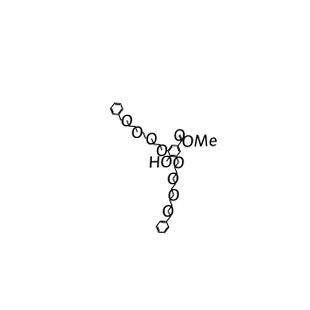 COC(=O)c1cc(OCCOCCOCCOCc2ccccc2)c(O)c(OCCOCCOCCOCc2ccccc2)c1